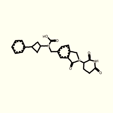 O=C1CCC(N2Cc3ccc(CN(C(=O)O)C4CC(c5ccccc5)C4)cc3C2=O)C(=O)N1